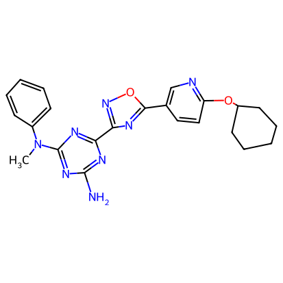 CN(c1ccccc1)c1nc(N)nc(-c2noc(-c3ccc(OC4CCCCC4)nc3)n2)n1